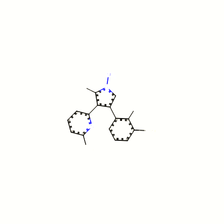 CCOC(=O)c1c(-c2cccc(C)n2)c(-c2cccc(OC)c2C)cn1N